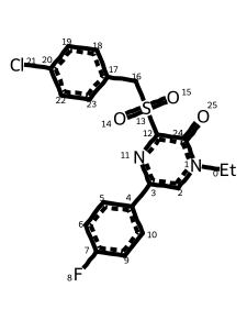 CCn1cc(-c2ccc(F)cc2)nc(S(=O)(=O)Cc2ccc(Cl)cc2)c1=O